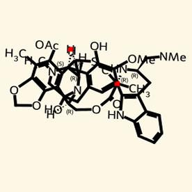 CNC[C@H]1Cc2c([nH]c3ccccc23)[C@@]2(CS[C@@H]3c4c(OC(C)=O)c(C)c5c(c4[C@H](COC2=O)N2[C@@H]3[C@@H]3c4c(cc(C)c(OC)c4O)CC2(O)CN3C)OCO5)N1